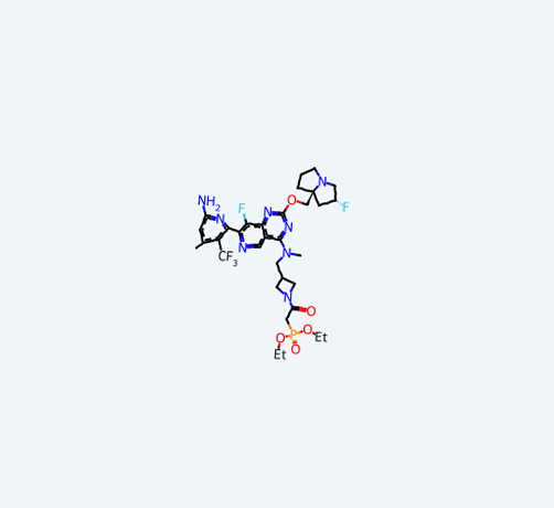 CCOP(=O)(CC(=O)N1CC(CN(C)c2nc(OC[C@@]34CCCN3C[C@H](F)C4)nc3c(F)c(-c4nc(N)cc(C)c4C(F)(F)F)ncc23)C1)OCC